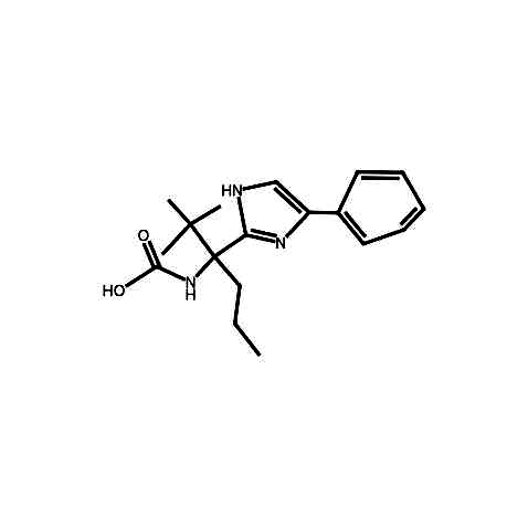 CCCC(NC(=O)O)(c1nc(-c2ccccc2)c[nH]1)C(C)(C)C